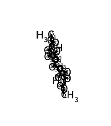 CCOC(=O)CNC(=O)C1C(=O)c2ccc(C(=O)c3ccc4c(c3)C(=O)C(C(=O)NCC(=O)OCC)C4=O)cc2C1=O